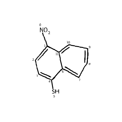 O=[N+]([O-])c1ccc(S)c2ccccc12